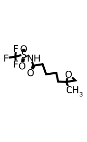 CC1(CCCCC(=O)NS(=O)(=O)C(F)(F)F)CO1